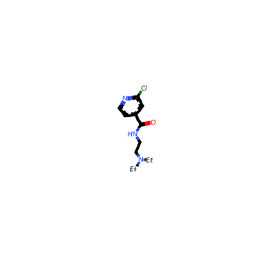 CCN(CC)CCNC(=O)c1ccnc(Cl)c1